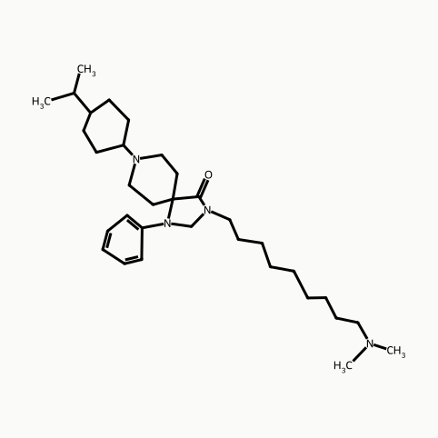 CC(C)C1CCC(N2CCC3(CC2)C(=O)N(CCCCCCCCCN(C)C)CN3c2ccccc2)CC1